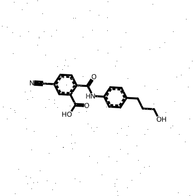 N#Cc1ccc(C(=O)Nc2ccc(CCCO)cc2)c(C(=O)O)c1